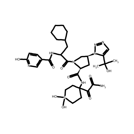 CC(C)(O)c1cnnn1[C@H]1C[C@@H](C(=O)NC2(C(=O)C(N)=O)CCS(O)(O)CC2)N(C(=O)C(CC2CCCCC2)NC(=O)c2ccc(O)nc2)C1